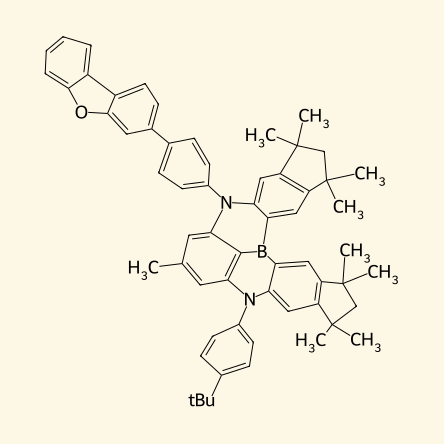 Cc1cc2c3c(c1)N(c1ccc(C(C)(C)C)cc1)c1cc4c(cc1B3c1cc3c(cc1N2c1ccc(-c2ccc5c(c2)oc2ccccc25)cc1)C(C)(C)CC3(C)C)C(C)(C)CC4(C)C